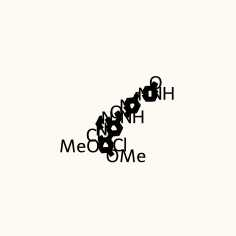 COc1cc(OC)c(Cl)c(-c2ccc(C(=O)Nc3ccc(CN4CCNC(=O)C4)cn3)c3nccnc23)c1Cl